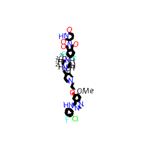 [2H]C1([2H])N(CC2CCN(CCCOc3cc4c(Nc5ccc(F)c(Cl)c5)ncnc4cc3OC)CC2)C([2H])([2H])C([2H])([2H])N(c2c(F)cc3c(c2F)C(=O)N(C2CCC(=O)NC2=O)C3=O)C1([2H])[2H]